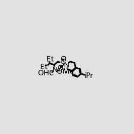 CCC(CC)C(CS(=O)(=O)N1CCc2cc(C(C)C)ccc2C1)N(C=O)OC